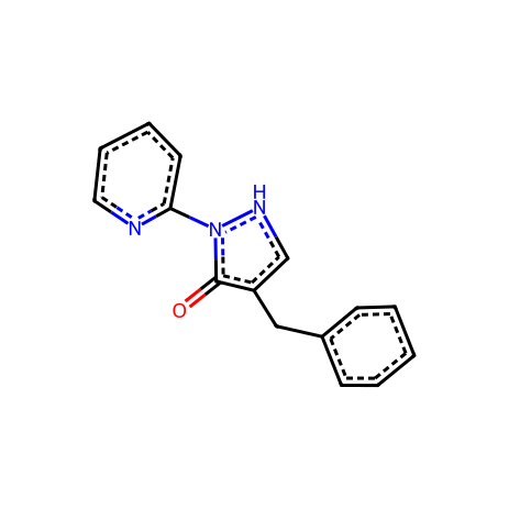 O=c1c(Cc2ccccc2)c[nH]n1-c1ccccn1